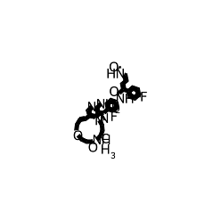 CC1CCn2nc(-c3ccc(NC(=O)/C(=C/C=C\NC=O)c4ccc(F)cc4)cc3F)c3c(N)ncc(c32)/C=C/CCOCCC(=O)N1